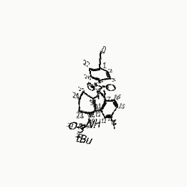 Cc1ccc(S(=O)(=O)n2c3c(c4cc(F)ccc42)[C@H](N[S@+]([O-])C(C)(C)C)CCC3)cc1